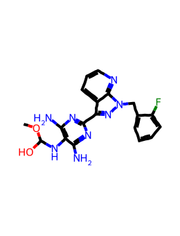 COC(O)Nc1c(N)nc(-c2nn(Cc3ccccc3F)c3ncccc23)nc1N